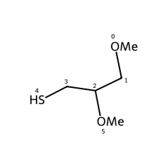 COCC(CS)OC